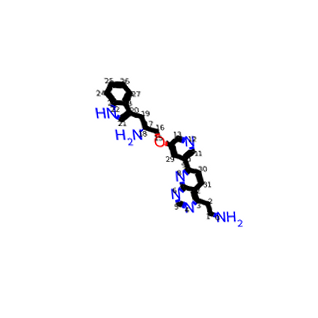 NCCc1ncnc2nc(-c3cncc(OC[C@H](N)Cc4c[nH]c5ccccc45)c3)ccc12